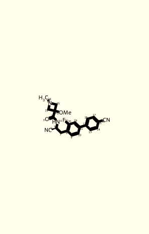 COC1(C(=O)N[C@H](C#N)Cc2ccc(-c3ccc(C#N)cc3)cc2F)CN(C)C1